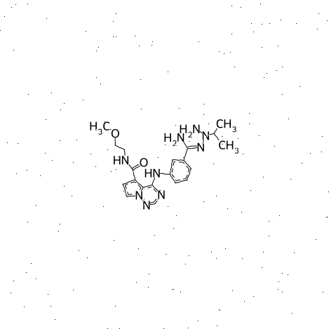 COCCNC(=O)c1ccn2ncnc(Nc3cccc(/C(N)=N/N(N)C(C)C)c3)c12